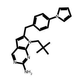 CC(C)(C)Cn1c(Cc2ccc(-n3cccc3)cc2)cc2cnc(N)nc21